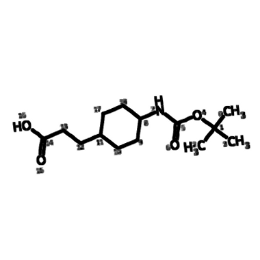 CC(C)(C)OC(=O)NC1CCC(CCC(=O)O)CC1